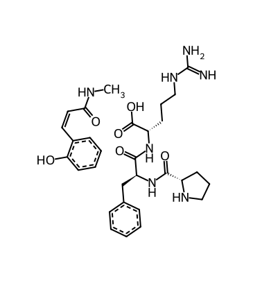 CNC(=O)/C=C\c1ccccc1O.N=C(N)NCCC[C@H](NC(=O)[C@H](Cc1ccccc1)NC(=O)[C@@H]1CCCN1)C(=O)O